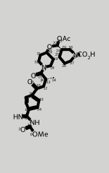 COC(=O)NC(=N)c1ccc(C(=O)C[C@@H](C)C(=O)N2CCC(OC(OC(C)=O)[C@H]3CCCN(C(=O)O)C3)CC2)cc1